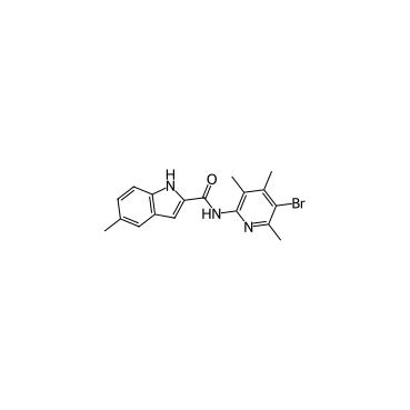 Cc1ccc2[nH]c(C(=O)Nc3nc(C)c(Br)c(C)c3C)cc2c1